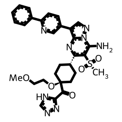 COCCO[C@]1(C(=O)c2nnc[nH]2)CC[C@@H](c2nc3c(-c4ccc(-c5ccccc5)nc4)cnn3c(N)c2S(C)(=O)=O)CC1